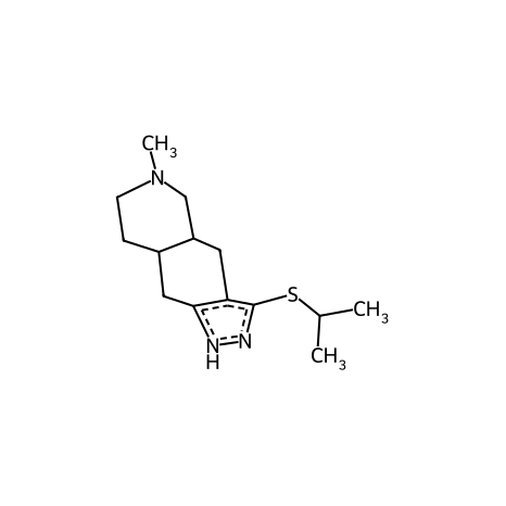 CC(C)Sc1n[nH]c2c1CC1CN(C)CCC1C2